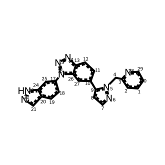 c1ccc(Cn2nccc2-c2ccc3nnn(-c4ccc5cn[nH]c5c4)c3c2)nc1